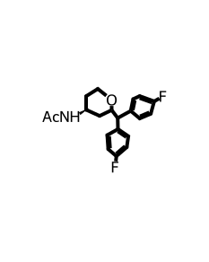 CC(=O)N[C@H]1CCOC(C(c2ccc(F)cc2)c2ccc(F)cc2)C1